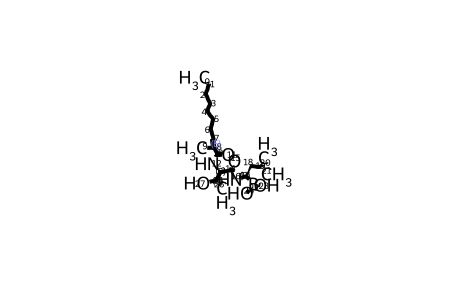 CCCCCCC/C=C(\C)C(=O)N[C@H](C(=O)N[C@@H](CC(C)C)B(O)O)[C@@H](C)O